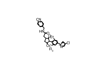 CCc1cc(-n2cc(Cl)cn2)cc(C)c1C1C(=O)CC(CC(=O)NCc2ccc(C#N)cc2)C1=O